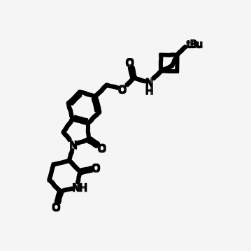 CC(C)(C)C12CC(NC(=O)OCc3ccc4c(c3)C(=O)N(C3CCC(=O)NC3=O)C4)(C1)C2